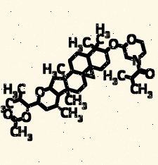 CC(=O)O[C@H](C(C)C)C1C[C@@H](C)C2C(C[C@@]3(C)C4CCC5C(C)(C)C(OC6CN(C(=O)C(C)C)CCO6)CCC56CC46CCC23C)O1